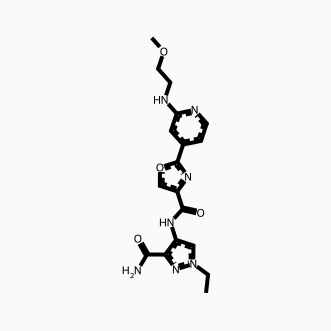 CCn1cc(NC(=O)c2coc(-c3ccnc(NCCOC)c3)n2)c(C(N)=O)n1